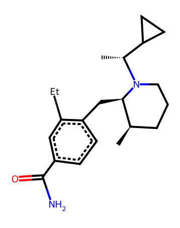 CCc1cc(C(N)=O)ccc1C[C@@H]1[C@H](C)CCCN1[C@H](C)C1CC1